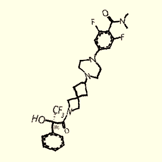 CN(C)C(=O)c1c(F)cc(N2CCN(C3CC4(C3)CN(C(=O)[C@](O)(c3ccccc3)C(F)(F)F)C4)CC2)cc1F